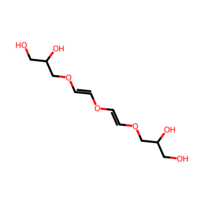 OCC(O)COC=COC=COCC(O)CO